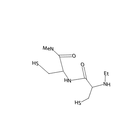 CCNC(CS)C(=O)NC(CS)C(=O)NC